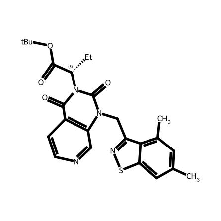 CC[C@@H](C(=O)OC(C)(C)C)n1c(=O)c2ccncc2n(Cc2nsc3cc(C)cc(C)c23)c1=O